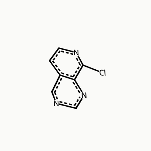 Clc1nccc2cncnc12